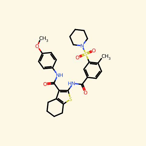 COc1ccc(NC(=O)c2c(NC(=O)c3ccc(C)c(S(=O)(=O)N4CCCCC4)c3)sc3c2CCCC3)cc1